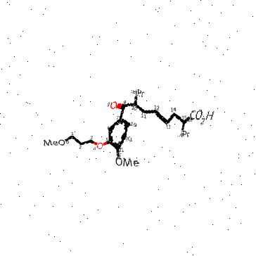 COCCCOc1cc(C(=O)C(C/C=C/CC(C(=O)O)C(C)C)C(C)C)ccc1OC